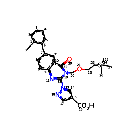 Cc1ccccc1-c1ccc2nc(-n3cc(C(=O)O)cn3)n(COCC[Si](C)(C)C)c(=O)c2c1